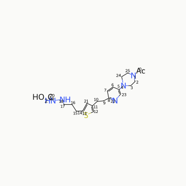 CC(=O)N1CCN(c2ccc(CCc3csc(CCCNNC(=O)O)c3)nc2)CC1